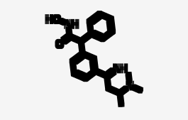 CC(CC(=N)c1cccc(C(C(=O)NO)c2ccccc2)c1)N(C)C